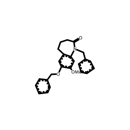 COc1cc2c(cc1OCc1ccccc1)CCCC(=O)N2Cc1ccccc1